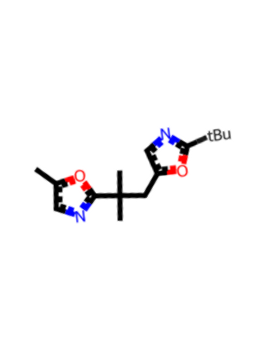 Cc1cnc(C(C)(C)Cc2cnc(C(C)(C)C)o2)o1